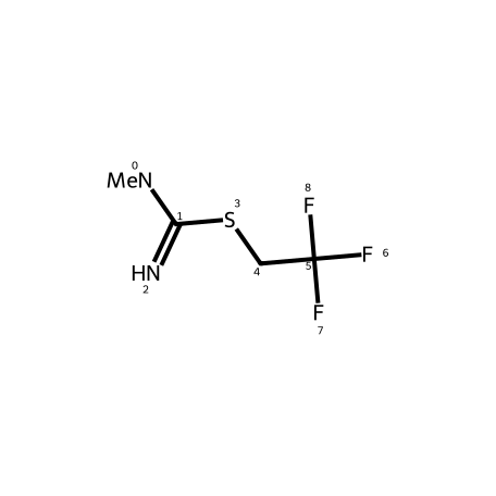 CNC(=N)SCC(F)(F)F